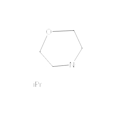 CC(C)[C@@H]1COCC[N]1